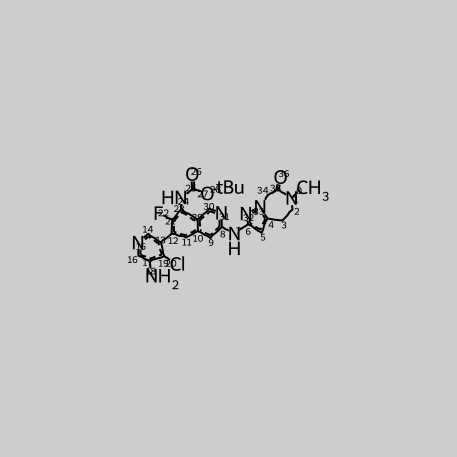 CN1CCc2cc(Nc3cc4cc(-c5cncc(N)c5Cl)c(F)c(NC(=O)OC(C)(C)C)c4cn3)nn2CC1=O